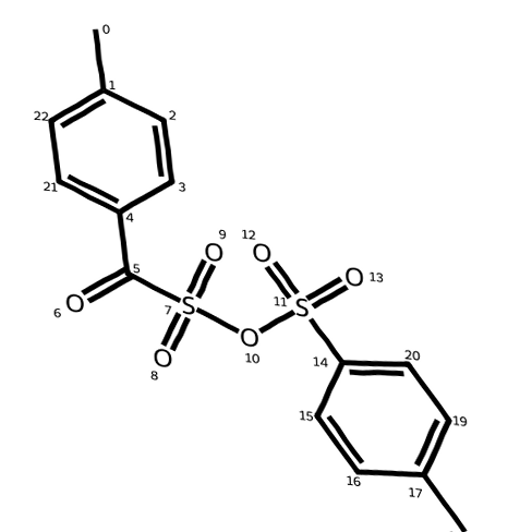 Cc1ccc(C(=O)S(=O)(=O)OS(=O)(=O)c2ccc(C)cc2)cc1